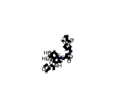 C=C1C(NC(C)C(=O)N2CCOCC2)CC2[C@](C)(CC[C@@H](O)[C@@]2(C)CO)C1/C=C/C1=CC(=C\C2=CN3C(=O)C(CC)N(C)C3C=C2)/OC1=O